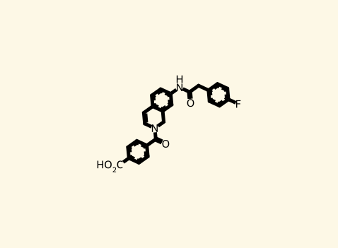 O=C(Cc1ccc(F)cc1)Nc1ccc2c(c1)CN(C(=O)c1ccc(C(=O)O)cc1)C=C2